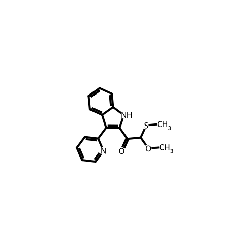 COC(SC)C(=O)c1[nH]c2ccccc2c1-c1ccccn1